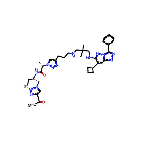 COC(=O)c1cn(C[C@H](CC(C)C)NC(=O)[C@H](C)n2cc(CCCNCC(C)(C)CNc3nn4c(-c5ccccc5)nnc4cc3C3CCC3)nn2)nn1